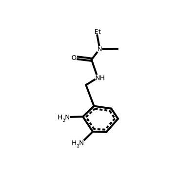 CCN(C)C(=O)NCc1cccc(N)c1N